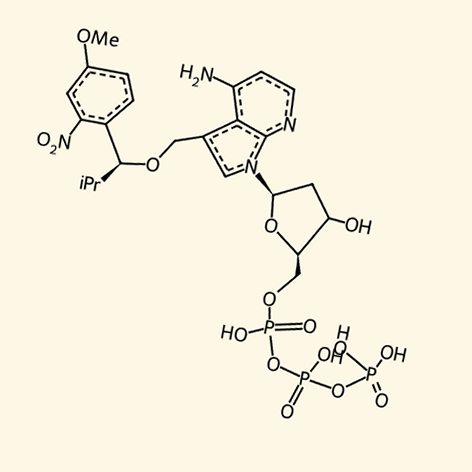 COc1ccc([C@@H](OCc2cn([C@H]3CC(O)[C@@H](COP(=O)(O)OP(=O)(O)OP(=O)(O)O)O3)c3nccc(N)c23)C(C)C)c([N+](=O)[O-])c1